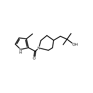 Cc1cc[nH]c1C(=O)N1CCC(CC(C)(C)O)CC1